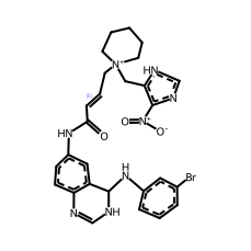 O=C(/C=C/C[N+]1(Cc2[nH]cnc2[N+](=O)[O-])CCCCC1)Nc1ccc2c(c1)C(Nc1cccc(Br)c1)NC=N2